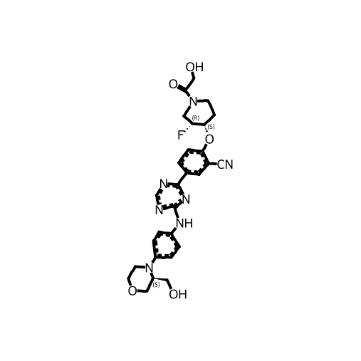 N#Cc1cc(-c2ncnc(Nc3ccc(N4CCOC[C@@H]4CO)cc3)n2)ccc1O[C@H]1CCN(C(=O)CO)C[C@H]1F